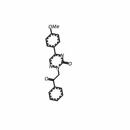 COc1ccc(-c2cnn(CC(=O)c3ccccc3)c(=O)n2)cc1